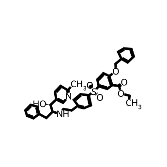 CCOC(=O)c1cc(S(=O)(=O)c2ccc(CCNC(Cc3ccccc3)[C@H](O)c3ccc(C)nc3)cc2)ccc1OCc1ccccc1